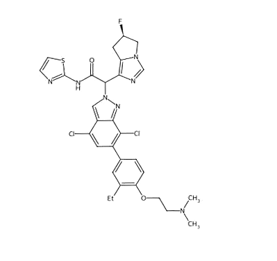 CCc1cc(-c2cc(Cl)c3cn(C(C(=O)Nc4nccs4)c4ncn5c4C[C@@H](F)C5)nc3c2Cl)ccc1OCCN(C)C